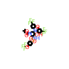 CC(C)(C)OC(=O)N1C[C@@H](N2c3ccc(C(F)(F)F)cc3Oc3cc(C(F)(F)F)ccc32)[C@@H](O)[C@H](NS(=O)(=O)c2ccc(OC(F)(F)F)cc2)C1